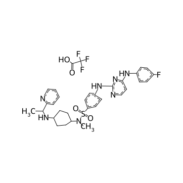 CC(NC1CCC(N(C)S(=O)(=O)c2ccc(Nc3nccc(Nc4ccc(F)cc4)n3)cc2)CC1)c1ccccn1.O=C(O)C(F)(F)F